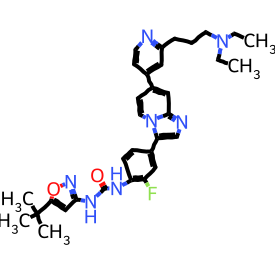 CCN(CC)CCCc1cc(-c2ccn3c(-c4ccc(NC(=O)Nc5cc(C(C)(C)C)on5)c(F)c4)cnc3c2)ccn1